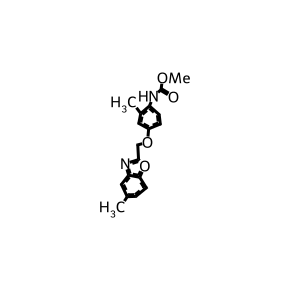 COC(=O)Nc1ccc(OCc2nc3cc(C)ccc3o2)cc1C